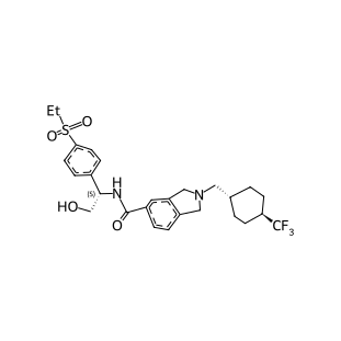 CCS(=O)(=O)c1ccc([C@@H](CO)NC(=O)c2ccc3c(c2)CN(C[C@H]2CC[C@H](C(F)(F)F)CC2)C3)cc1